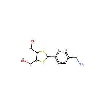 NCc1ccc(C2SC(CO)C(CO)S2)cc1